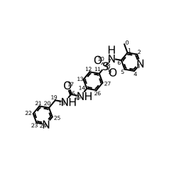 Cc1cnccc1NS(=O)(=O)c1ccc(NC(=O)NCc2cccnc2)cc1